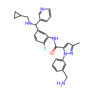 Cc1cc(C(=O)Nc2cc(C(NCC3CC3)c3cccnc3)ccc2F)n(-c2cccc(CN)c2)n1